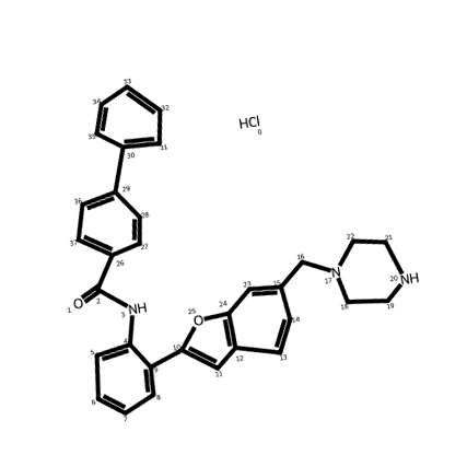 Cl.O=C(Nc1ccccc1-c1cc2ccc(CN3CCNCC3)cc2o1)c1ccc(-c2ccccc2)cc1